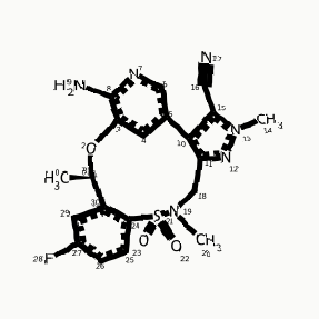 C[C@H]1Oc2cc(cnc2N)-c2c(nn(C)c2C#N)CN(C)S(=O)(=O)c2ccc(F)cc21